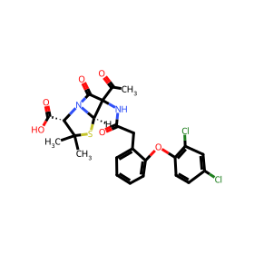 CC(=O)C1(NC(=O)Cc2ccccc2Oc2ccc(Cl)cc2Cl)C(=O)N2[C@@H](C(=O)O)C(C)(C)S[C@@H]21